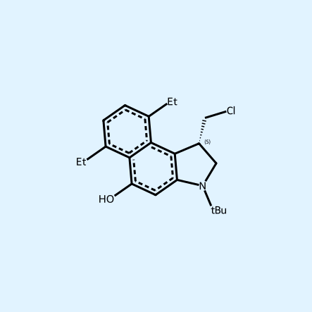 CCc1ccc(CC)c2c3c(cc(O)c12)N(C(C)(C)C)C[C@H]3CCl